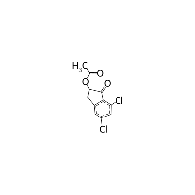 CC(=O)OC1Cc2cc(Cl)cc(Cl)c2C1=O